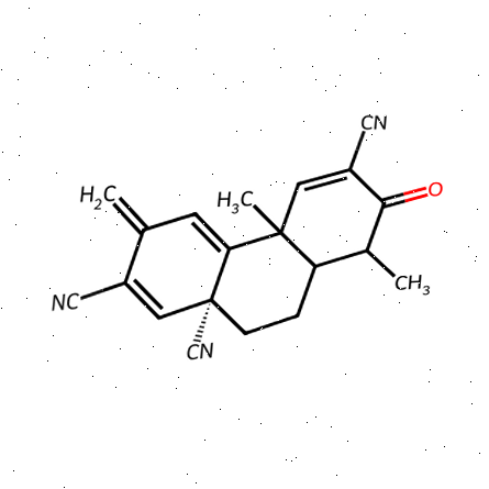 C=C1C=C2C3(C)C=C(C#N)C(=O)C(C)C3CC[C@@]2(C#N)C=C1C#N